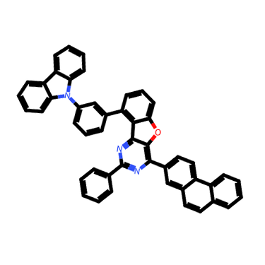 c1ccc(-c2nc(-c3ccc4c(ccc5ccccc54)c3)c3oc4cccc(-c5cccc(-n6c7ccccc7c7ccccc76)c5)c4c3n2)cc1